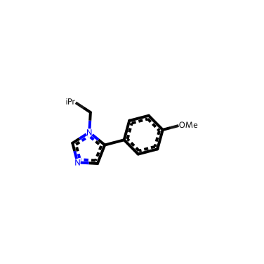 COc1ccc(-c2cncn2CC(C)C)cc1